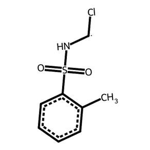 Cc1ccccc1S(=O)(=O)N[CH]Cl